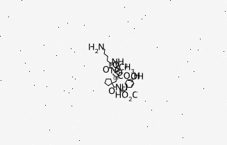 CS(=O)(=O)N(C[C@H](CC1(C(=O)N[C@@H](Cc2ccc(O)cc2)C(=O)O)CCCC1)C(=O)O)C(=O)[C@@H](N)CCCCN